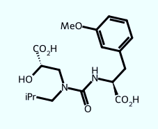 COc1cccc(C[C@H](NC(=O)N(CC(C)C)C[C@H](O)C(=O)O)C(=O)O)c1